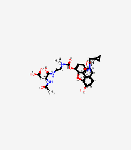 CC(=O)N[C@H](CC(=O)O)C(=O)NCCN(C)C(=O)OC1=CC[C@@]2(O)[C@H]3Cc4ccc(O)c5c4[C@@]2(CCN3CC2CC2)[C@H]1O5